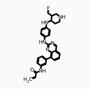 C=CC(=O)Nc1cccc(-c2cccc3cnc(Nc4ccc(NC5CCNCC5CF)cc4)nc23)c1